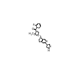 C[C@@H]1C[C@@H](CN2CCc3cc(C4C=NNC4)ncc32)CN1C(=O)C1CC=CC=C1F